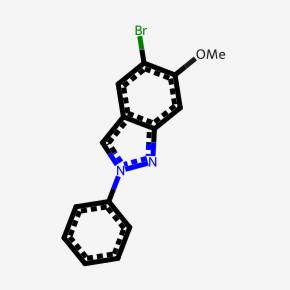 COc1cc2nn(-c3ccccc3)cc2cc1Br